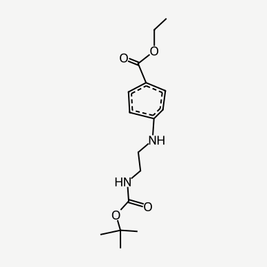 CCOC(=O)c1ccc(NCCNC(=O)OC(C)(C)C)cc1